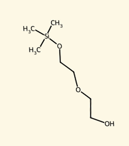 C[Si](C)(C)OCCOCCO